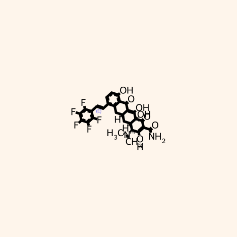 CN(C)[C@@H]1C(O)=C(C(N)=O)C(=O)[C@@]2(O)C(O)=C3C(=O)c4c(O)ccc(/C=C/c5c(F)c(F)c(F)c(F)c5F)c4C[C@H]3C[C@@H]12